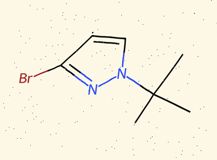 CC(C)(C)n1c[c]c(Br)n1